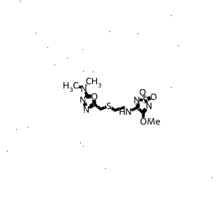 COC1=NS(=O)(=O)N=C1NCCSCc1nnc(N(C)C)o1